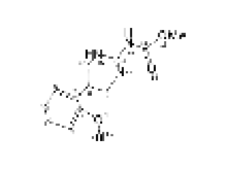 CCCOc1ccccc1C1CN=C(NC(=O)OC)NC1